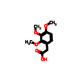 COc1ccc(CC(=O)O)c(OC)c1OC